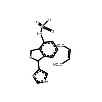 CCS(=O)(=O)Nc1cccc2c1COC2c1c[nH]cn1.O=C(O)/C=C\C(=O)O